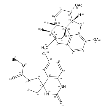 CC(=O)Oc1ccc2c3c1O[C@H]1[C@@H](OC(C)=O)C=C[C@H]4[C@@H](C2)N(C)CC[C@@]341.CC(C)(C)OC(=O)N1CCC2(C1)NC(=O)Nc1ccc(Cl)cc12